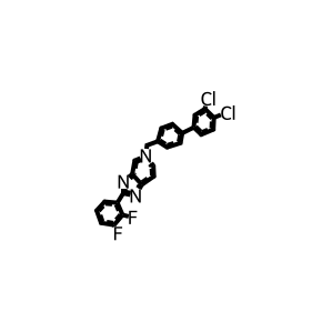 Fc1cccc(-c2nc3ccn(Cc4ccc(-c5ccc(Cl)c(Cl)c5)cc4)cc-3n2)c1F